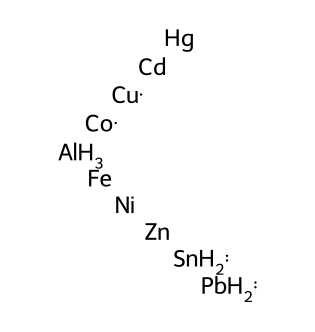 [AlH3].[Cd].[Co].[Cu].[Fe].[Hg].[Ni].[PbH2].[SnH2].[Zn]